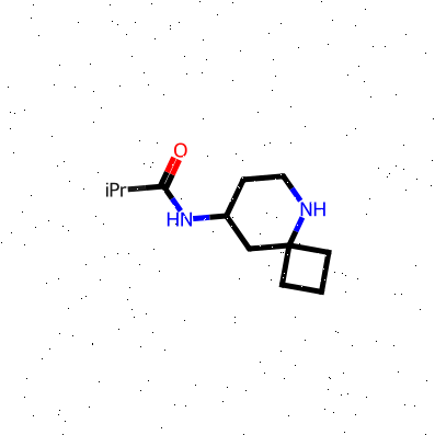 CC(C)C(=O)NC1CCNC2(CCC2)C1